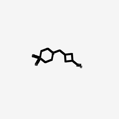 NC1CC(CN2CCS(=O)(=O)CC2)C1